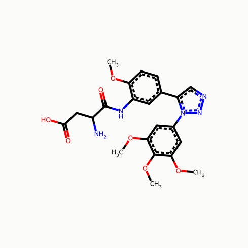 COc1ccc(-c2cnnn2-c2cc(OC)c(OC)c(OC)c2)cc1NC(=O)C(N)CC(=O)O